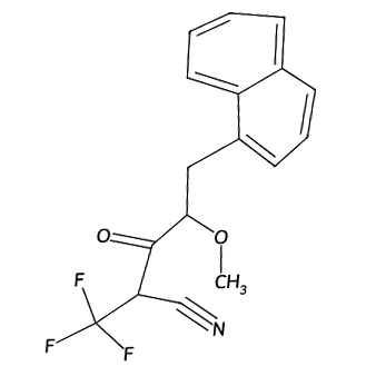 COC(Cc1cccc2ccccc12)C(=O)C(C#N)C(F)(F)F